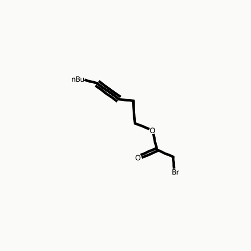 CCCCC#CCCOC(=O)CBr